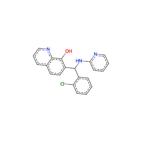 Oc1c(C(Nc2ccccn2)c2ccccc2Cl)ccc2cccnc12